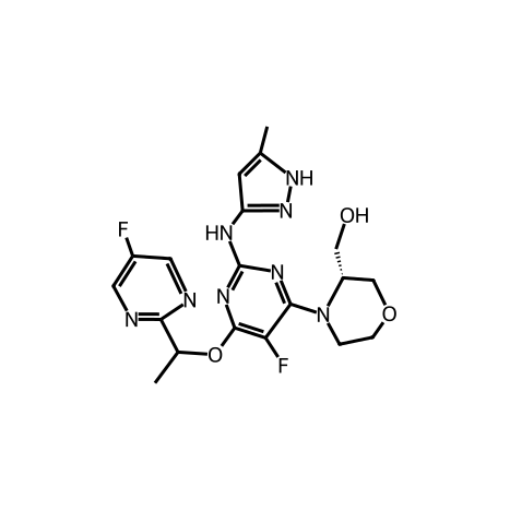 Cc1cc(Nc2nc(OC(C)c3ncc(F)cn3)c(F)c(N3CCOC[C@H]3CO)n2)n[nH]1